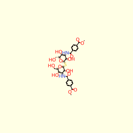 COC(=O)c1ccc(C(=O)N[C@H]2[C@@H](O)[C@@H](CO)O[C@@H](S[C@@H]3O[C@H](CO)[C@H](O)[C@H](NC(=O)c4ccc(C(=O)OC)cc4)[C@H]3O)[C@@H]2O)cc1